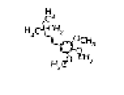 CCC(C)(C)[CH]/C=C/c1cc(OC)c(OC)c(OC)c1